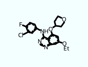 CCOc1cc(OC2CCOCC2)c2c(Nc3ccc(F)c(Cl)c3)ncnc2c1